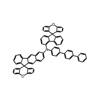 c1ccc(-c2ccc(-c3ccc(N(c4ccc5cc6c(cc5c4)-c4ccccc4C64c5ccccc5Oc5ccccc54)c4cccc5c4-c4ccccc4C54c5ccccc5Oc5ccccc54)cc3)cc2)cc1